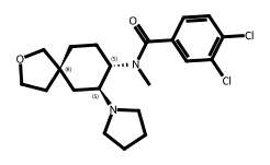 CN(C(=O)c1ccc(Cl)c(Cl)c1)[C@H]1CC[C@]2(CCOC2)C[C@@H]1N1CCCC1